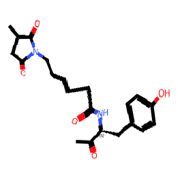 CC(=O)[C@H](Cc1ccc(O)cc1)NC(=O)CCCCCN1C(=O)CC(C)C1=O